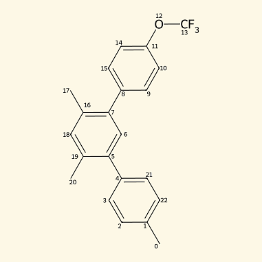 Cc1ccc(-c2cc(-c3ccc(OC(F)(F)F)cc3)c(C)cc2C)cc1